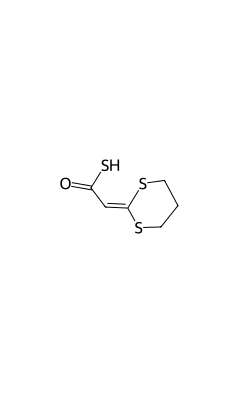 O=C(S)C=C1SCCCS1